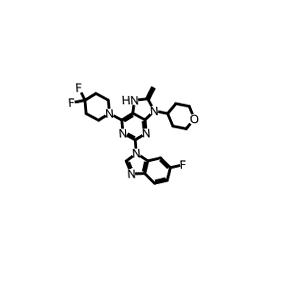 C=C1Nc2c(N3CCC(F)(F)CC3)nc(-n3cnc4ccc(F)cc43)nc2N1C1CCOCC1